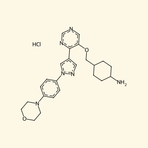 Cl.NC1CCC(COc2cncnc2-c2cnn(-c3ccc(N4CCOCC4)cc3)c2)CC1